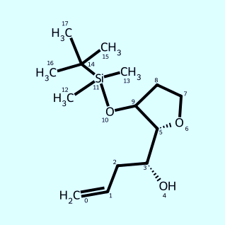 C=CC[C@@H](O)[C@H]1OCCC1O[Si](C)(C)C(C)(C)C